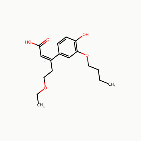 CCCCOc1cc(/C(=C\C(=O)O)CCOCC)ccc1O